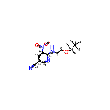 CC(C)(C)[Si](C)(C)OCCNc1ncc(C#N)cc1[N+](=O)[O-]